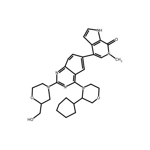 Cn1cc(-c2ccc3nc(N4CCOC(CO)C4)nc(N4CCOCC4C4CCCCC4)c3c2)c2cc[nH]c2c1=O